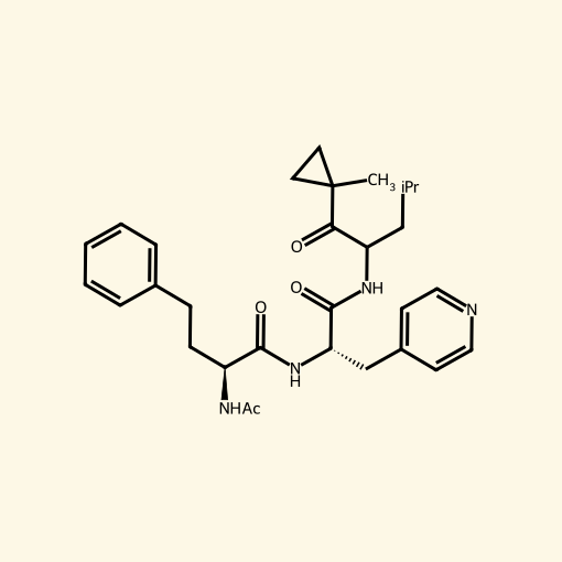 CC(=O)N[C@@H](CCc1ccccc1)C(=O)N[C@@H](Cc1ccncc1)C(=O)NC(CC(C)C)C(=O)C1(C)CC1